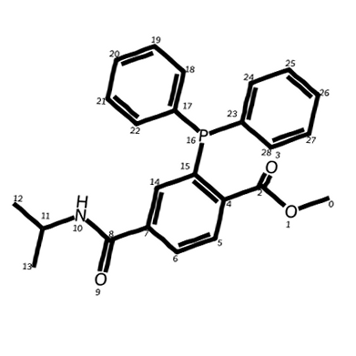 COC(=O)c1ccc(C(=O)NC(C)C)cc1P(c1ccccc1)c1ccccc1